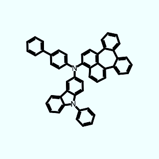 c1ccc(-c2ccc(N(c3ccc4c(c3)c3ccccc3n4-c3ccccc3)c3ccc4c5c(cccc35)-c3ccccc3-c3ccccc3-4)cc2)cc1